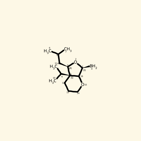 B[C@@H]1O[C@H](CC(C)C)[C@@]2(C(C)C)CCCOC12